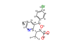 CC(C)CC(OC(c1ccc(Br)cc1)c1cccnc1)C(=O)[O-].[K+]